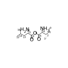 CC[C@H](C)[C@H](N)C(=O)OC(=O)[C@@H](N)CC(C)C